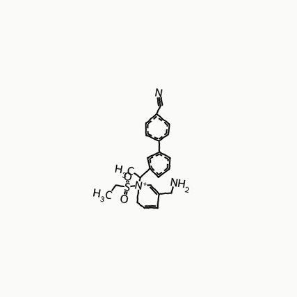 CCS(=O)(=O)[N+]1(C(C)c2cccc(-c3ccc(C#N)cc3)c2)C=C(CN)C=CC1